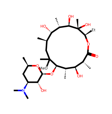 CC[C@H]1OC(=O)[C@H](C)[C@@H](O)[C@H](C)[C@@H](O[C@@H]2O[C@H](C)C[C@H](N(C)C)[C@H]2O)C(C)(OC)C[C@@H](C)[C@H](O)[C@H](C)[C@@H](O)[C@]1(C)O